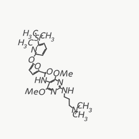 COc1nc(NCCCN(C)C)nc(OC)c1NC(=O)c1ccc(Oc2cccc([Si](C)(C)C)n2)o1